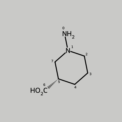 NN1CCC[C@H](C(=O)O)C1